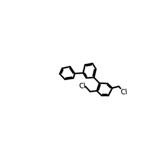 ClCc1ccc(CCl)c(-c2cccc(-c3ccccc3)c2)c1